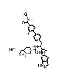 Cc1cc(C(=O)NC2CC2)ccc1-c1ccc(C[C@H](NC(=O)C2CCC(CN)CC2)C(=O)Nc2ccc3cn[nH]c3c2)cc1.Cl